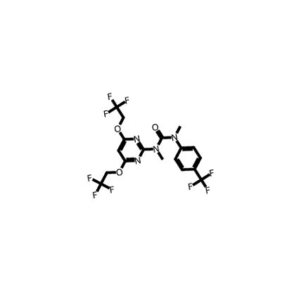 CN(C(=O)N(C)c1nc(OCC(F)(F)F)cc(OCC(F)(F)F)n1)c1ccc(C(F)(F)F)cc1